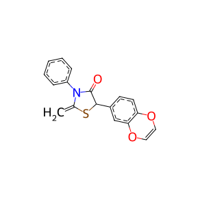 C=C1SC(c2ccc3c(c2)OC=CO3)C(=O)N1c1ccccc1